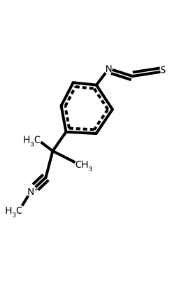 C[N+]#CC(C)(C)c1ccc(N=C=S)cc1